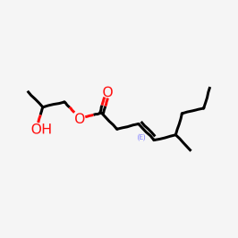 CCCC(C)/C=C/CC(=O)OCC(C)O